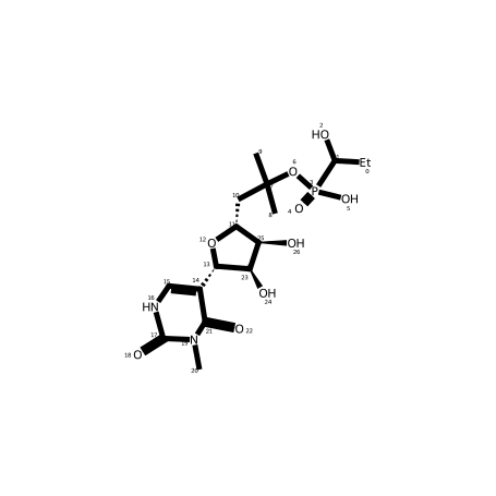 CCC(O)P(=O)(O)OC(C)(C)C[C@H]1O[C@@H](c2c[nH]c(=O)n(C)c2=O)[C@H](O)[C@@H]1O